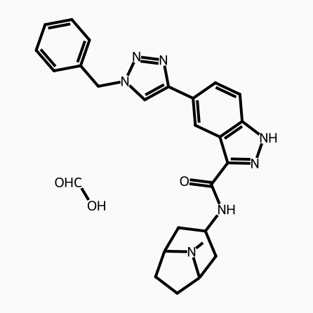 CN1C2CCC1CC(NC(=O)c1n[nH]c3ccc(-c4cn(Cc5ccccc5)nn4)cc13)C2.O=CO